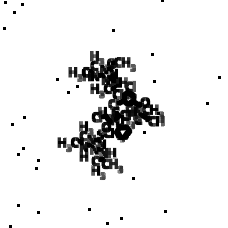 C#CC(C)(C)NC(=O)c1cc(Cl)cc(Cl)c1.CC(C)N(C(=O)CCl)c1ccccc1.COc1nc(NC(C)C)nc(NC(C)C)n1.CSc1nc(NC(C)C)nc(NC(C)C)n1